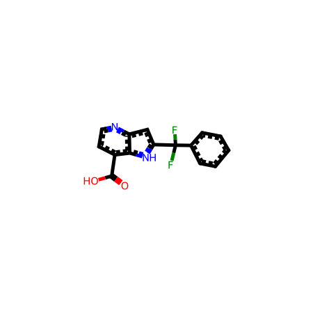 O=C(O)c1ccnc2cc(C(F)(F)c3ccccc3)[nH]c12